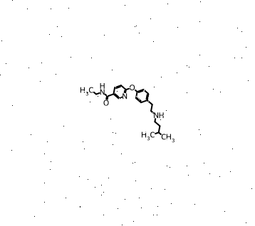 CCNC(=O)c1ccc(Oc2ccc(CCNCCC(C)C)cc2)nc1